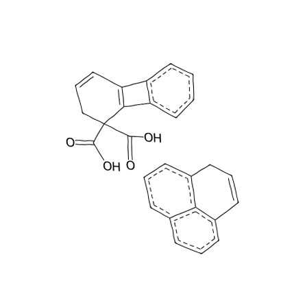 C1=Cc2cccc3cccc(c23)C1.O=C(O)C1(C(=O)O)CC=CC2=C1c1ccccc12